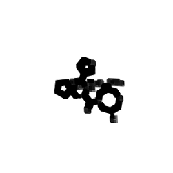 COC1(OC)COC[C@H](Cl)CN(C(=O)[C@H](CC2(C)CCCC2)NC(=O)c2ccoc2)C1